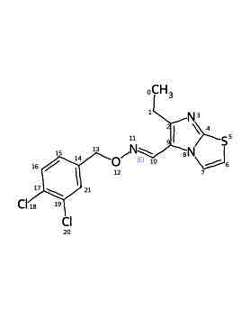 CCc1nc2sccn2c1/C=N/OCc1ccc(Cl)c(Cl)c1